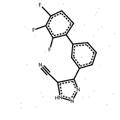 N#Cc1[nH]nnc1-c1cccc(-c2ccc(F)c(F)c2F)c1